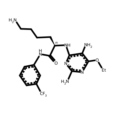 CCOc1nc(N)nc(N[C@H](CCCCN)C(=O)Nc2cccc(C(F)(F)F)c2)c1N